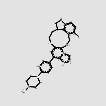 CN1CCN(c2ccc(-c3cc4c(n5cnnc35)NCc3c(F)ccc5c3[C@@H](CCO4)CO5)cn2)CC1